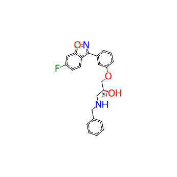 O[C@@H](CNCc1ccccc1)COc1cccc(-c2noc3cc(F)ccc23)c1